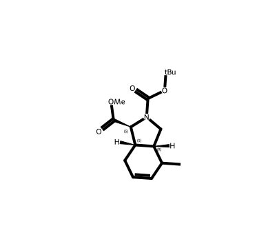 COC(=O)[C@@H]1[C@H]2CC=CC(C)[C@H]2CN1C(=O)OC(C)(C)C